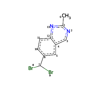 Cc1ncc2cc(C(Br)Br)ccc2n1